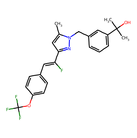 Cc1cc(C(F)=Cc2ccc(OC(F)(F)F)cc2)nn1Cc1cccc(C(C)(C)O)c1